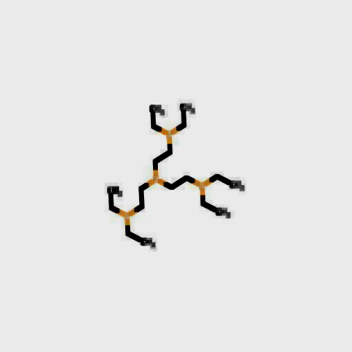 CCP(CC)CCP(CCP(CC)CC)CCP(CC)CC